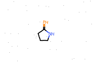 P=C1CCCN1